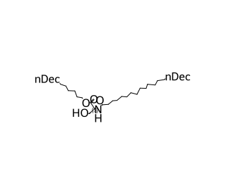 CCCCCCCCCCCCCCCCCCCCCCCC(=O)N[C@@H](CO)C(=O)OCCCCCCCCCCCCCCCC